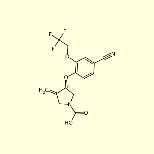 C=C1CN(C(=O)O)C[C@@H]1Oc1ccc(C#N)cc1OCC(F)(F)F